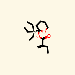 C=C(CC)C(=O)OC1([Si](CC)(CC)CC)CCCCO1